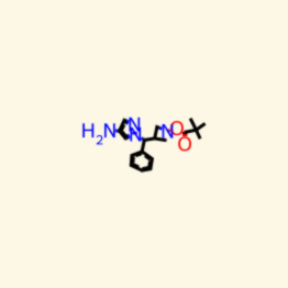 CC(C)(C)C(=O)ON1CC(C(c2ccccc2)n2cc(N)cn2)C1